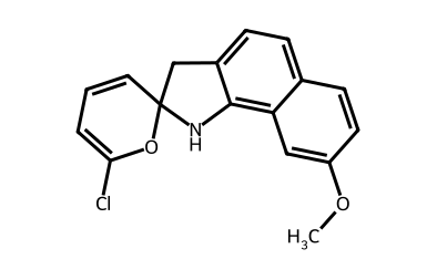 COc1ccc2ccc3c(c2c1)NC1(C=CC=C(Cl)O1)C3